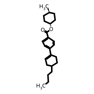 CCCCC1CC=C(c2ccc(C(=O)O[C@H]3CC[C@H](C)CC3)cc2)CC1